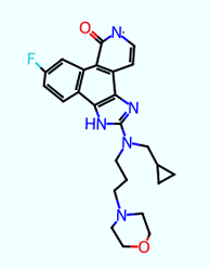 O=C1[N]C=Cc2c1c1cc(F)ccc1c1[nH]c(N(CCCN3CCOCC3)CC3CC3)nc21